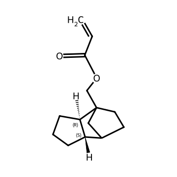 C=CC(=O)OCC12CCC(C1)[C@@H]1CCC[C@H]12